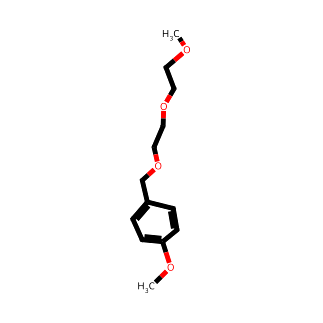 COCCOCCOCc1ccc(OC)cc1